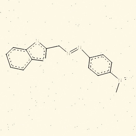 O=[N+]([O-])c1ccc(N=NCc2nc3ccccc3s2)cc1